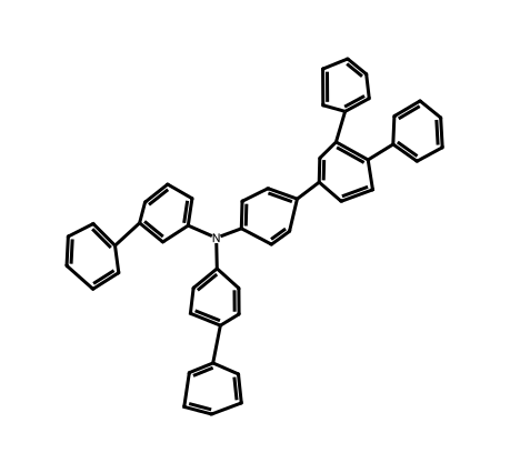 c1ccc(-c2ccc(N(c3ccc(-c4ccc(-c5ccccc5)c(-c5ccccc5)c4)cc3)c3cccc(-c4ccccc4)c3)cc2)cc1